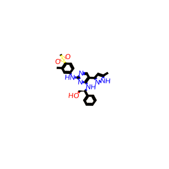 Cc1cc(-c2cnc(Nc3ccc(S(C)(=O)=O)c(C)c3)nc2N[C@H](CO)c2ccccc2)n[nH]1